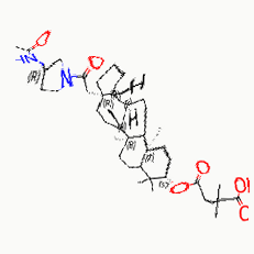 CC(=O)N[C@@H]1CCN(C(=O)C[C@]23CCC[C@@H]2[C@H]2CCC4[C@@]5(C)CC[C@H](OC(=O)CC(C)(C)C(=O)O)C(C)(C)C5CC[C@@]4(C)[C@]2(C)CC3)C1